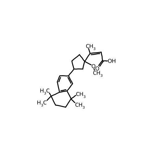 COC1(/C(C)=C\C(=O)O)CCC(c2ccc3c(c2)C(C)(C)CCC3(C)C)C1